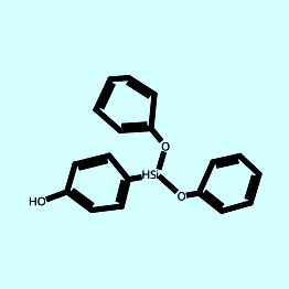 Oc1ccc([SiH](Oc2ccccc2)Oc2ccccc2)cc1